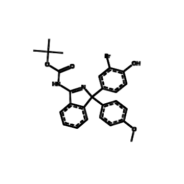 COc1ccc(C2(c3ccc(O)c(Br)c3)N=C(NC(=O)OC(C)(C)C)c3ccccc32)cc1